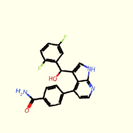 NC(=O)c1ccc(-c2ccnc3[nH]cc(C(O)c4cc(F)ccc4F)c23)cc1